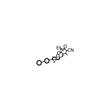 CCN1C(=O)/C(=C\c2cc3sc(-c4ccc(-c5ccccc5)cc4)cc3o2)C(C)C(C#N)C1=O